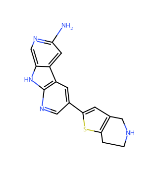 Nc1cc2c(cn1)[nH]c1ncc(-c3cc4c(s3)CCNC4)cc12